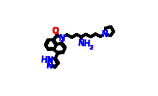 NC(CCCCN1CCCC1)CCCN1C(=O)c2cccc3c(-c4ccn[nH]4)ccc1c23